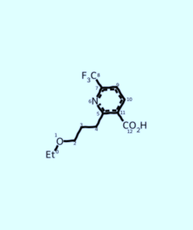 CCOCCCc1nc(C(F)(F)F)ccc1C(=O)O